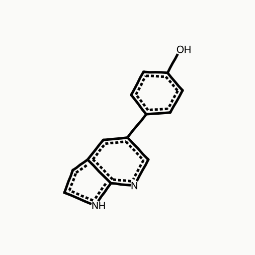 Oc1ccc(-c2cnc3[nH]ccc3c2)cc1